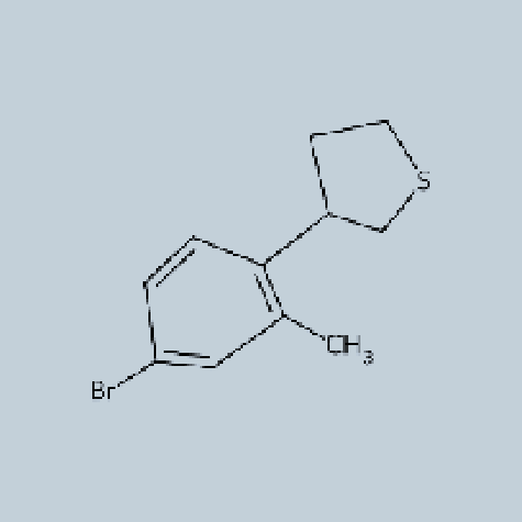 Cc1cc(Br)ccc1C1CCSC1